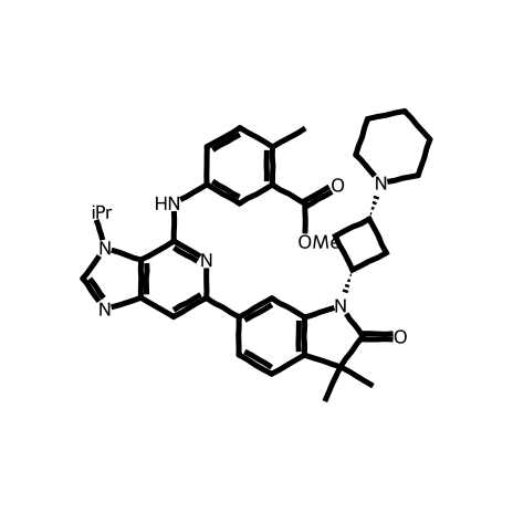 COC(=O)c1cc(Nc2nc(-c3ccc4c(c3)N([C@H]3C[C@@H](N5CCCCC5)C3)C(=O)C4(C)C)cc3ncn(C(C)C)c23)ccc1C